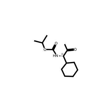 CC(=O)[C@@H](NC(=O)OC(C)C)C1CCCCC1